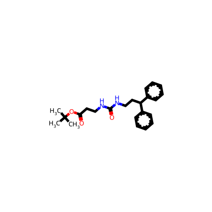 CC(C)(C)OC(=O)CCNC(=O)NCCC(c1ccccc1)c1ccccc1